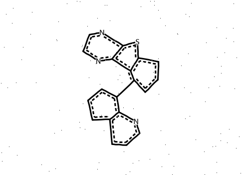 c1cnc2c(-c3cccc4sc5nccnc5c34)cccc2c1